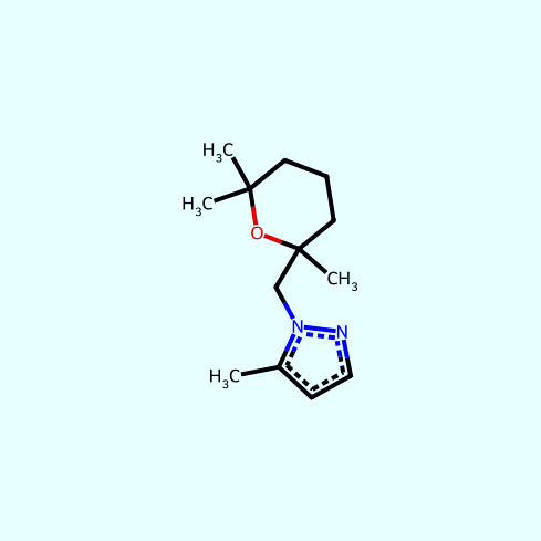 Cc1ccnn1CC1(C)CCCC(C)(C)O1